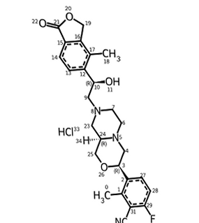 Cc1c([C@@H]2CN3CCN(C[C@H](O)c4ccc5c(c4C)COC5=O)C[C@@H]3CO2)ccc(F)c1C#N.Cl